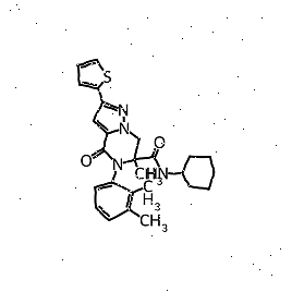 Cc1cccc(N2C(=O)c3cc(-c4cccs4)nn3CC2(C)C(=O)NC2CCCCC2)c1C